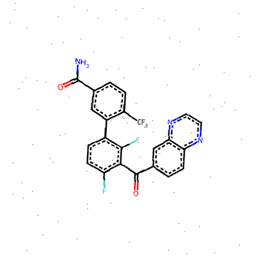 NC(=O)c1ccc(C(F)(F)F)c(-c2ccc(F)c(C(=O)c3ccc4nccnc4c3)c2F)c1